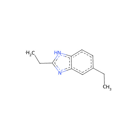 [CH2]Cc1nc2cc(CC)ccc2[nH]1